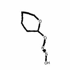 ON=NOC1CCCCO1